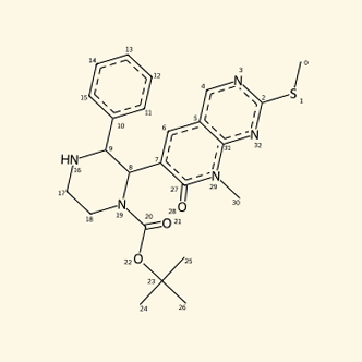 CSc1ncc2cc(C3C(c4ccccc4)NCCN3C(=O)OC(C)(C)C)c(=O)n(C)c2n1